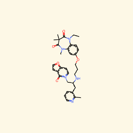 CCN1C(=O)C(C)(C)C(=O)N(C)c2cc(OCCCNC(Cc3cccnc3C)Cn3ccc4occc4c3=O)ccc21